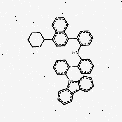 c1ccc(-c2ccccc2-n2c3ccccc3c3ccccc32)c(Nc2ccccc2-c2ccc(C3CCCCC3)c3ccccc23)c1